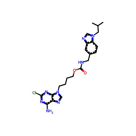 CC(C)Cn1cnc2cc(CNC(=O)OCCCCn3cnc4c(N)nc(Cl)nc43)ccc21